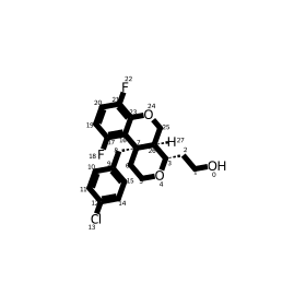 OCC[C@@H]1OCC[C@@]2(Cc3ccc(Cl)cc3)c3c(F)ccc(F)c3OC[C@@H]12